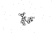 COc1cc(OC)cc(-c2cc3cnc([S+](C)[O-])nc3n(CCc3cccc(N(C(=O)O)C(C)(C)C)n3)c2=O)c1